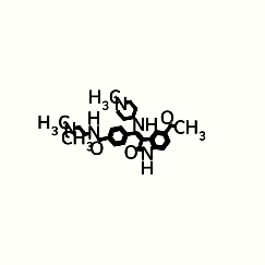 CC(=O)c1ccc2c(c1)C(=C(NC1CCN(C)CC1)c1ccc(C(=O)NCCN(C)C)cc1)C(=O)N2